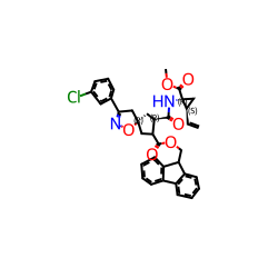 C=C[C@@H]1C[C@]1(NC(=O)[C@@H]1C[C@]2(CC(c3cccc(Cl)c3)=NO2)CC1C(=O)OCC1c2ccccc2-c2ccccc21)C(=O)OC